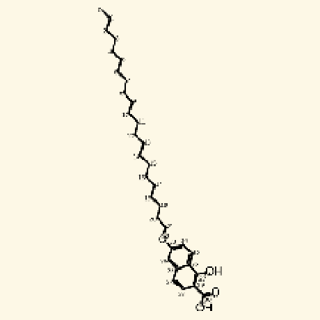 CCCCCCCCCCCCCCCCCCCCCCOc1ccc2c(O)c(C(=O)O)c[c]c2c1